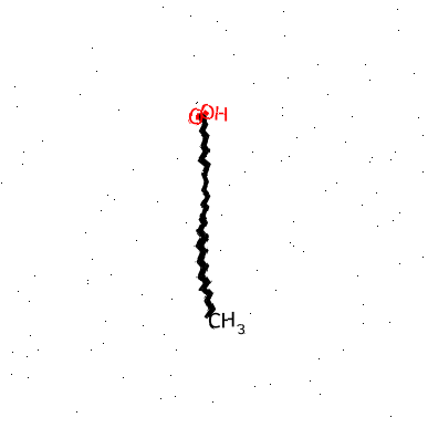 CCCCCCCCCCCC=CCC=CCCCCCCCCCCCCCC(=O)O